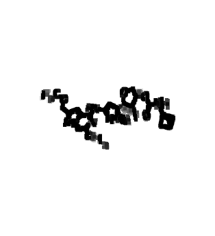 Cc1cn2nc(COC(F)(F)F)cc2c(Nc2cc([C@@H]3OC[C@H](OC(=O)NC45CC(C4)C5)[C@H]3F)[nH]n2)n1